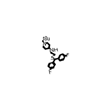 CC(C)(C)CN1CCC(NCCSC(c2ccc(F)cc2)c2ccc(F)cc2)CC1